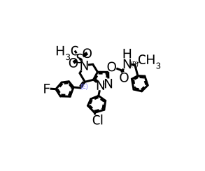 C[C@@H](NC(=O)Oc1nn(-c2ccc(Cl)cc2)c2c1CN(S(C)(=O)=O)C/C2=C\c1ccc(F)cc1)c1ccccc1